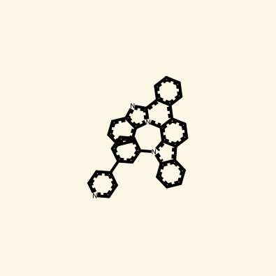 c1cc(-c2ccncc2)cc(-n2c3ccccc3c3ccc4c5ccccc5c5nc6ccccc6n5c4c32)c1